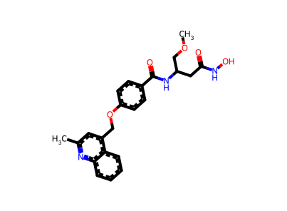 COCC(CC(=O)NO)NC(=O)c1ccc(OCc2cc(C)nc3ccccc23)cc1